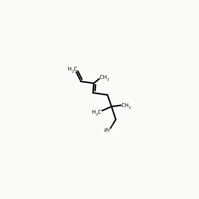 C=C/C(C)=C/CC(C)(C)CC(C)C